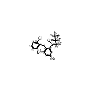 [O-][S+](c1cc(Br)[c]c(Br)c1Cc1ccccc1Cl)C(F)(F)C(F)(F)C(F)(F)F